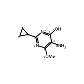 COc1nc(C2CC2)nc(O)c1N